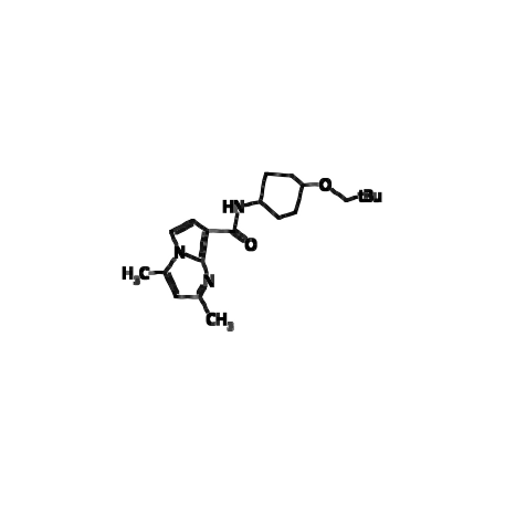 Cc1cc(C)n2ccc(C(=O)NC3CCC(OCC(C)(C)C)CC3)c2n1